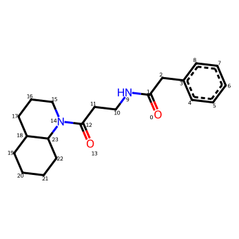 O=C(Cc1ccccc1)NCCC(=O)N1CCCC2CCCCC21